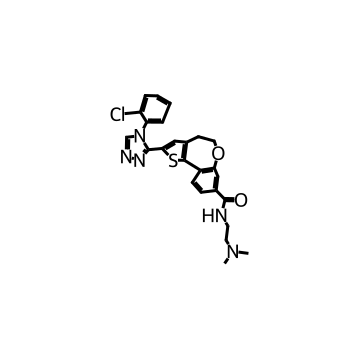 CN(C)CCNC(=O)c1ccc2c(c1)OCCc1cc(-c3nncn3-c3ccccc3Cl)sc1-2